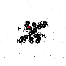 CC1(C)c2cc(-c3c4ccc(N(c5ccc6c(c5)C(C)(C)c5c-6ccc6ccccc56)c5ccc6ccccc6c5)cc4c(-c4ccc5c(c4)C(C)(C)c4ccc6ccccc6c4-5)c4ccc(N(c5ccccc5)c5ccc6c(c5)C(C)(C)c5c-6ccc6ccccc56)cc34)ccc2-c2c1ccc1ccccc21